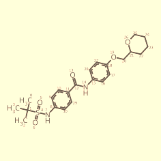 CC(C)(C)S(=O)(=O)Nc1ccc(C(=O)Nc2ccc(OCC3CCCCO3)cc2)cc1